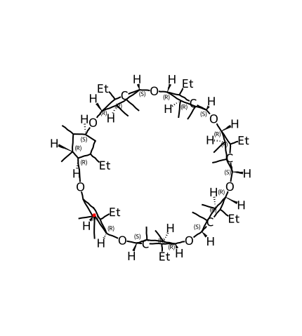 CCC1CC2O[C@@H]3C(CC)C[C@H](O[C@@H]4C(CC)C[C@H](O[C@@H]5C(CC)C[C@H](O[C@@H]6C(CC)C[C@H](O[C@@H]7C(CC)C[C@H](O[C@@H]8C(CC)C[C@H](O[C@H]1[C@H](C)C2C)C(C)[C@H]8C)C(C)[C@H]7C)C(C)[C@H]6C)C(C)[C@H]5C)C(C)[C@H]4C)C(C)[C@H]3C